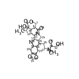 CC[C@@]1(O)C(=O)OCc2c1cc1n(c2=O)Cc2c-1nc1cc3c(cc1c2CCN(C)C(=O)CO)OCO3